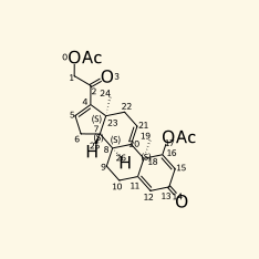 CC(=O)OCC(=O)C1=CC[C@H]2[C@@H]3CCC4=CC(=O)C=C(OC(C)=O)[C@]4(C)C3=CC[C@]12C